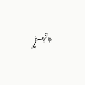 BrOBr.[Bi].[C]